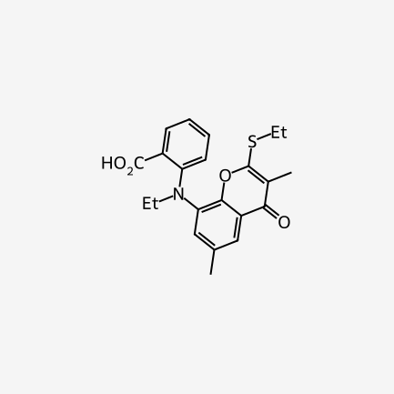 CCSc1oc2c(N(CC)c3ccccc3C(=O)O)cc(C)cc2c(=O)c1C